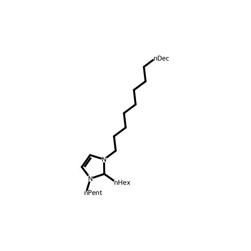 CCCCCCCCCCCCCCCCCCN1C=CN(CCCCC)C1CCCCCC